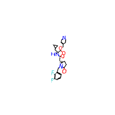 O=C(C[C@@H]1CCC(=O)N1Cc1cccc(F)c1F)N[C@@H](CC1CC1)C(=O)OCc1ccncc1